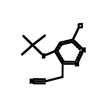 CC(C)(C)Sc1cc(Cl)nnc1CC#N